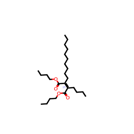 CCCCCCCCCC/C(C(=O)OCCCC)=C(\CCCC)C(=O)OCCCC